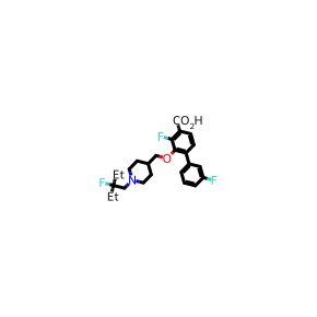 CCC(F)(CC)CN1CCC(COc2c(-c3cccc(F)c3)ccc(C(=O)O)c2F)CC1